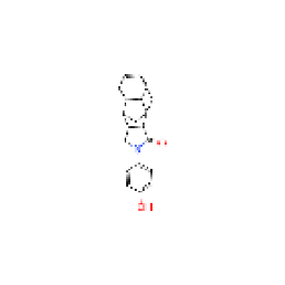 O=C1C2C(CN1c1ccc(O)cc1)C1CC23CC2=CCC1C3C2